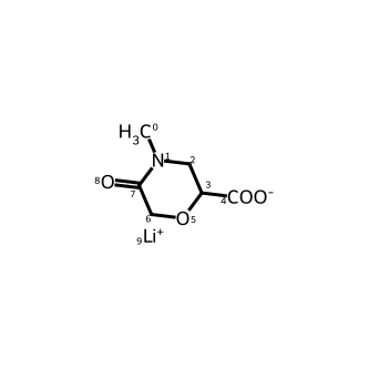 CN1CC(C(=O)[O-])OCC1=O.[Li+]